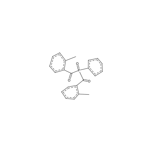 Cc1ccccc1C(=O)P(=O)(C(=O)c1ccccc1C)c1ccccc1